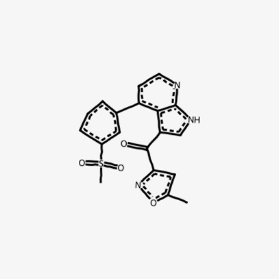 Cc1cc(C(=O)c2c[nH]c3nccc(-c4cccc(S(C)(=O)=O)c4)c23)no1